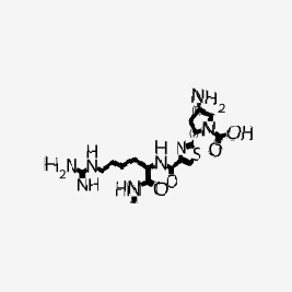 CNC(=O)C(CCCCNC(=N)N)NC(=O)c1csc([C@@H]2C[C@@H](N)CN2C(=O)O)n1